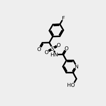 O=CC(c1ccc(F)cc1)S(=O)(=O)NC(=O)c1ccc(CO)nc1